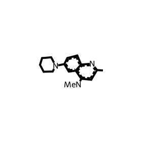 CNc1cc(C)nc2ccc(N3CCCCC3)cc12